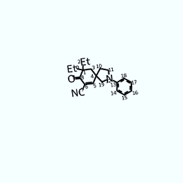 CCC1(CC)CC2(C=C(C#N)C1=O)CCN(c1ccccc1)C2